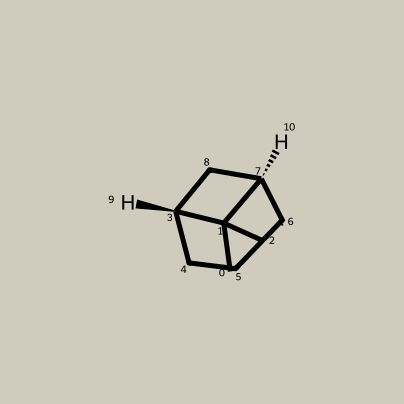 CC1(C)[C@@H]2CC[CH][C@@H]1C2